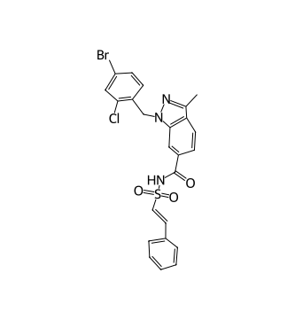 Cc1nn(Cc2ccc(Br)cc2Cl)c2cc(C(=O)NS(=O)(=O)C=Cc3ccccc3)ccc12